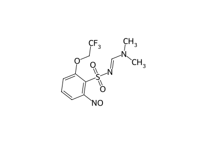 CN(C)/C=N/S(=O)(=O)c1c(N=O)cccc1OCC(F)(F)F